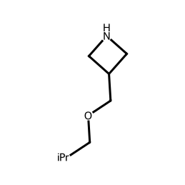 CC(C)COCC1CNC1